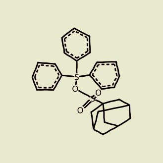 O=S(=O)(OS(c1ccccc1)(c1ccccc1)c1ccccc1)C12CC3CC(CC(C3)C1)C2